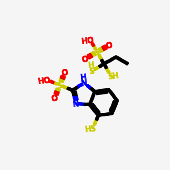 CCC(S)(S)S(=O)(=O)O.O=S(=O)(O)c1nc2c(S)cccc2[nH]1